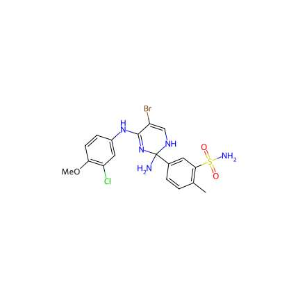 COc1ccc(NC2=NC(N)(c3ccc(C)c(S(N)(=O)=O)c3)NC=C2Br)cc1Cl